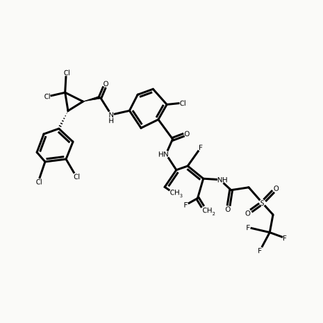 C=C(F)/C(NC(=O)CS(=O)(=O)CC(F)(F)F)=C(F)\C(=C/C)NC(=O)c1cc(NC(=O)[C@H]2[C@H](c3ccc(Cl)c(Cl)c3)C2(Cl)Cl)ccc1Cl